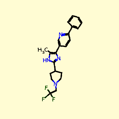 Cc1[nH]c(C2CCN(CC(F)(F)F)CC2)nc1-c1ccc(-c2ccccc2)nc1